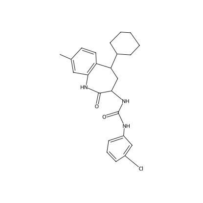 Cc1ccc2c(c1)NC(=O)C(NC(=O)Nc1cccc(Cl)c1)CC2C1CCCCC1